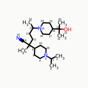 CC(C)N1CCC(C(C)(C#N)CCC(C)N2CCC(C(C)(C)O)CC2)CC1